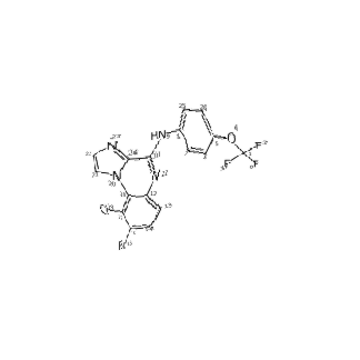 FC(F)(F)Oc1ccc(Nc2nc3ccc(Br)c(Cl)c3n3ccnc23)cc1